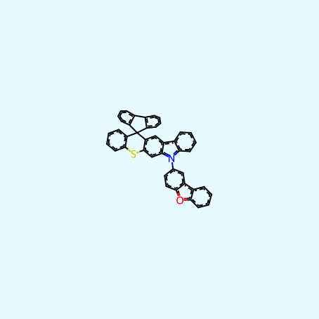 c1ccc2c(c1)Sc1cc3c(cc1C21c2ccccc2-c2ccccc21)c1ccccc1n3-c1ccc2oc3ccccc3c2c1